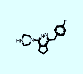 Fc1ccc(Cc2nnc(N3CCNCC3)c3c2CCC3)cc1